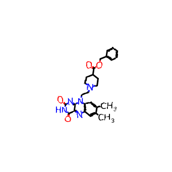 Cc1cc2nc3c(=O)[nH]c(=O)nc-3n(CCN3CCC(C(=O)OCc4ccccc4)CC3)c2cc1C